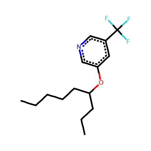 CCCCCC(CCC)Oc1cncc(C(F)(F)F)c1